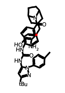 Cc1ccc(-n2nc(C(C)(C)C)cc2NC(=O)Nc2ccc(CC3CC4CCC(C3)N4C(=O)c3ccc(O)c(N)c3)cc2)cc1